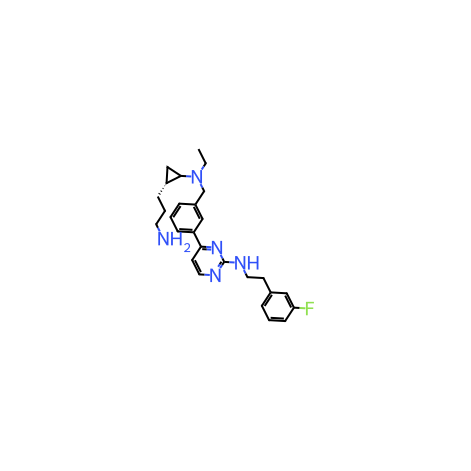 CCN(Cc1cccc(-c2ccnc(NCCc3cccc(F)c3)n2)c1)C1C[C@H]1CCCN